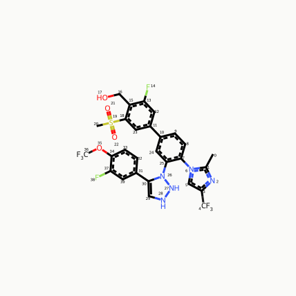 Cc1nc(C(F)(F)F)cn1-c1ccc(-c2cc(F)c(CO)c(S(C)(=O)=O)c2)cc1N1NNC=C1c1ccc(OC(F)(F)F)c(F)c1